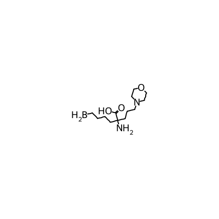 BCCCCC(N)(CCCN1CCOCC1)C(=O)O